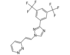 FC(F)(F)c1cc(-c2ncn(C=Cc3cccnn3)n2)cc(C(F)(F)F)c1